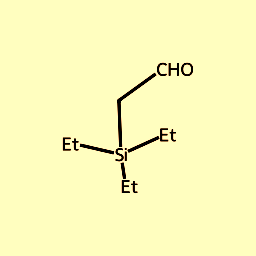 CC[Si](CC)(CC)CC=O